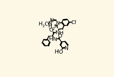 C=N/N=C\N(N)c1ccc(Cl)cc1CCNC(=O)[C@H](Cc1ccccc1)NC(=O)c1ccnc(O)c1